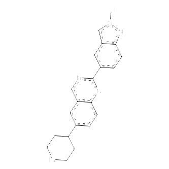 Cn1cc2cc(-c3ncc4cc(C5CCNCC5)ccc4n3)ccc2n1